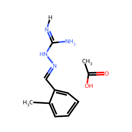 CC(=O)O.[H]/N=C(\N)NN=Cc1ccccc1C